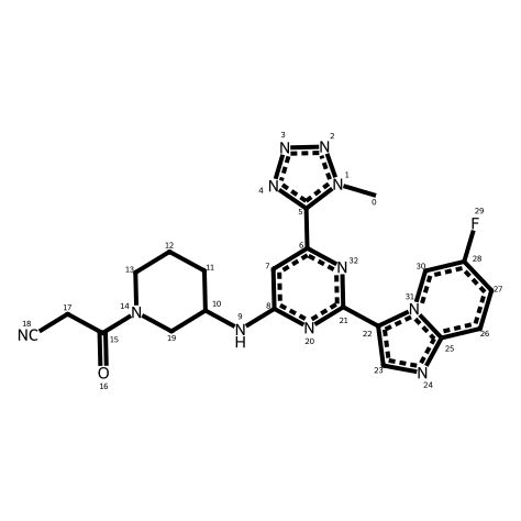 Cn1nnnc1-c1cc(NC2CCCN(C(=O)CC#N)C2)nc(-c2cnc3ccc(F)cn23)n1